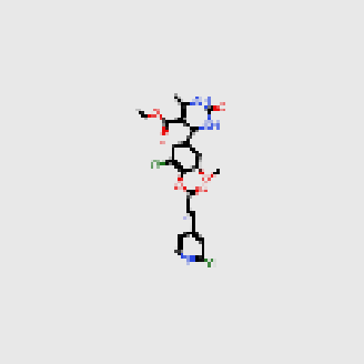 CCOC(=O)C1=C(C)NC(=O)NC1c1cc(Cl)c(OC(=O)/C=C/c2ccnc(Cl)c2)c(OC)c1